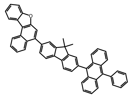 CC1(C)c2cc(-c3c4ccccc4c(-c4ccccc4)c4ccccc34)ccc2-c2ccc(-c3cc4oc5ccccc5c4c4ccccc34)cc21